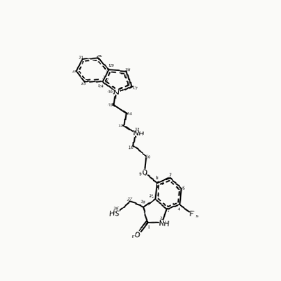 O=C1Nc2c(F)ccc(OCCNCCCn3ccc4ccccc43)c2C1CS